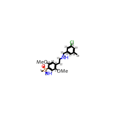 COc1cc(S(C)(=N)=O)c(OC)cc1CCNCc1cc(C)cc(Cl)c1